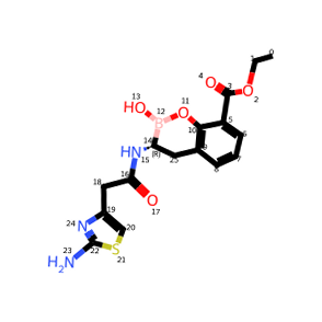 CCOC(=O)c1cccc2c1OB(O)[C@@H](NC(=O)Cc1csc(N)n1)C2